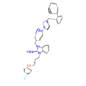 N=c1n(CCCOc2ccc(F)cc2)c2ccccc2n1Cc1ccc(N2CCN(Cc3ccccc3-c3ccccc3)CC2)nc1